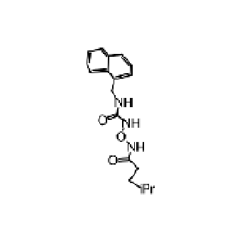 CC(C)CCC(=O)NONC(=O)NCc1cccc2ccccc12